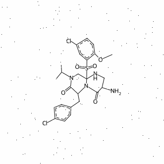 COc1ccc(Cl)cc1S(=O)(=O)C12CN(C(C)C)C(=O)C(Cc3ccc(Cl)cc3)N1C(=O)C(N)CN2